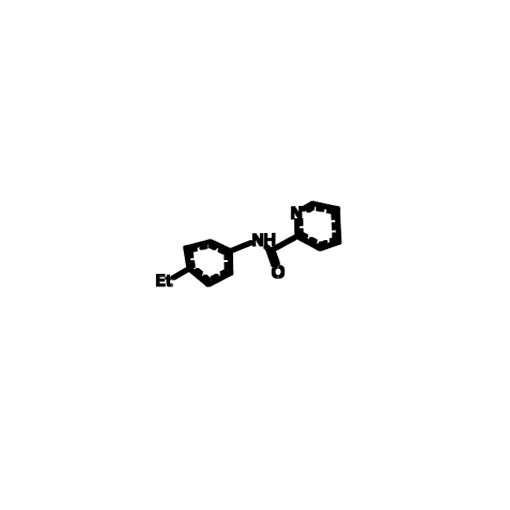 CCc1ccc(NC(=O)c2ccccn2)cc1